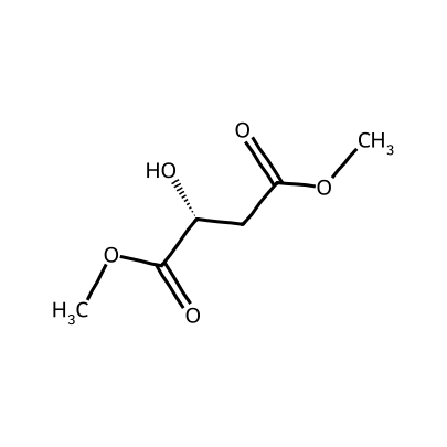 COC(=O)C[C@@H](O)C(=O)OC